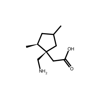 CC1C[C@H](C)[C@@](CN)(CC(=O)O)C1